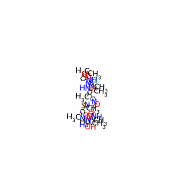 Cc1cc(Nc2ncc(Cl)c(Nc3ccccc3S(=O)(=O)C(C)C)n2)c(OC(C)C)cc1C1CCN(C(=O)CCCCC(=O)N[C@H](C(=O)N2C[C@H](O)C[C@H]2C(=O)N[C@@H](C)c2ccc(-c3scnc3C)cc2)C(C)(C)C)CC1